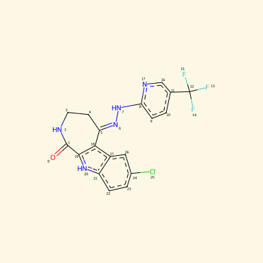 O=C1NCCC(=NNc2ccc(C(F)(F)F)cn2)c2c1[nH]c1ccc(Cl)cc21